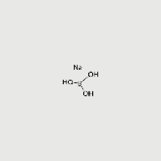 OB(O)O.[Na]